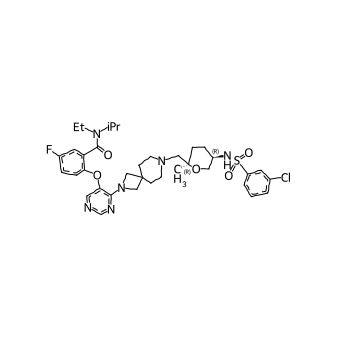 CCN(C(=O)c1cc(F)ccc1Oc1cncnc1N1CC2(CCN(C[C@@]3(C)CC[C@@H](NS(=O)(=O)c4cccc(Cl)c4)CO3)CC2)C1)C(C)C